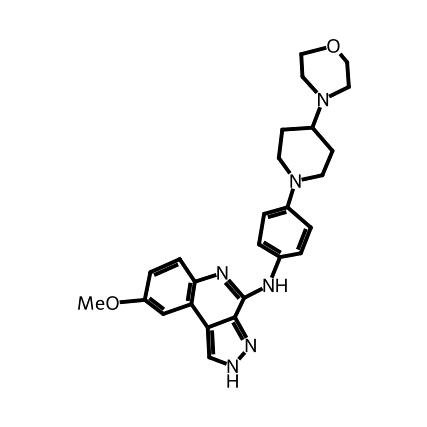 COc1ccc2nc(Nc3ccc(N4CCC(N5CCOCC5)CC4)cc3)c3n[nH]cc3c2c1